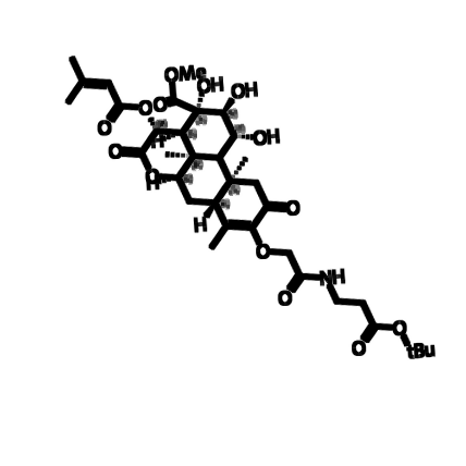 COC(=O)[C@@]1(O)[C@@H](O)[C@H](O)C2[C@@]3(C)[C@@H](C[C@H]4C(C)=C(OCC(=O)NCCC(=O)OC(C)(C)C)C(=O)C[C@]24C)OC(=O)[C@H](OC(=O)C=C(C)C)[C@@H]13